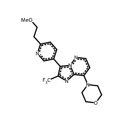 COCCc1ccc(-c2c(C(F)(F)F)nc3c(N4CCOCC4)ccnn23)cn1